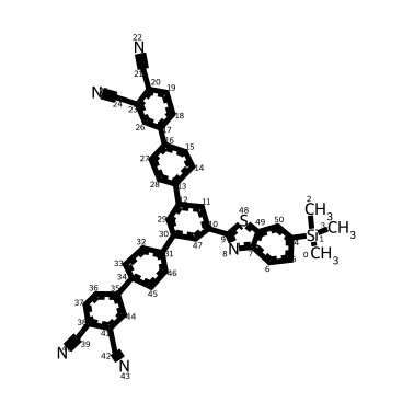 C[Si](C)(C)c1ccc2nc(-c3cc(-c4ccc(-c5ccc(C#N)c(C#N)c5)cc4)cc(-c4ccc(-c5ccc(C#N)c(C#N)c5)cc4)c3)sc2c1